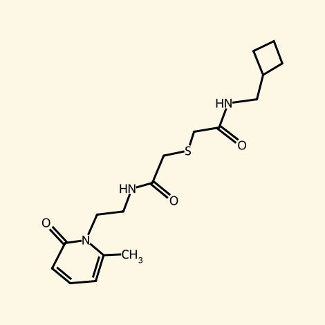 Cc1cccc(=O)n1CCNC(=O)CSCC(=O)NCC1CCC1